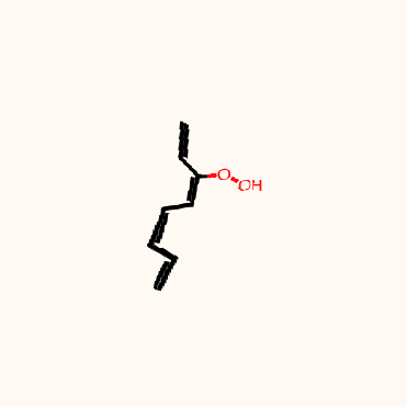 C=C/C=C\C=C(/C=C)OO